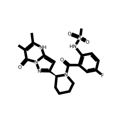 Cc1[nH]c2cc([C@@H]3CCCCN3C(=O)c3cc(F)ccc3NS(C)(=O)=O)nn2c(=O)c1C